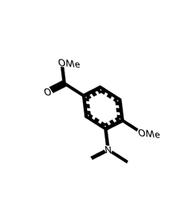 COC(=O)c1ccc(OC)c(N(C)C)c1